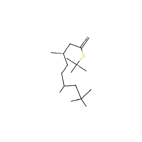 C=C(CC(C)CCC(C)CC(C)(C)C)SC(C)(C)C